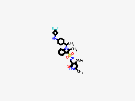 CSc1cc(C)[nH]c(=O)c1CNS(=O)(=O)c1c(C)n(C(C)C2CCC(NC3CC(F)(F)C3)CC2)c2ccccc12